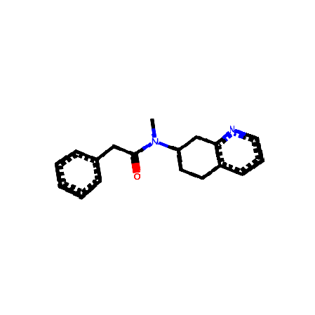 CN(C(=O)Cc1ccccc1)C1CCc2cccnc2C1